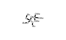 CCC(C)O[Si](OC(C)CC)(OC(C)CC)[O][Zr]([O]C)([O]C)[O]C